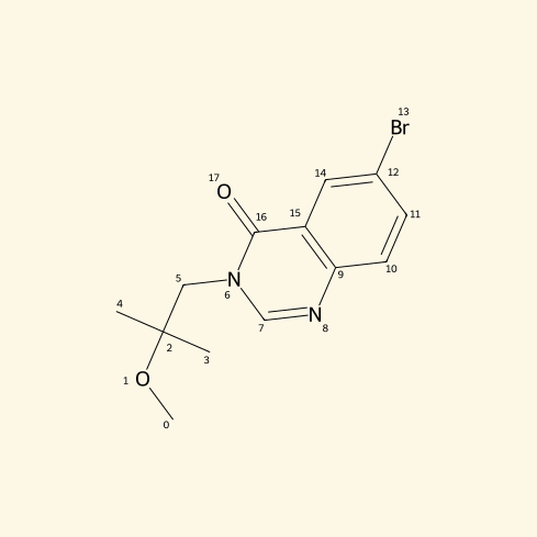 COC(C)(C)Cn1cnc2ccc(Br)cc2c1=O